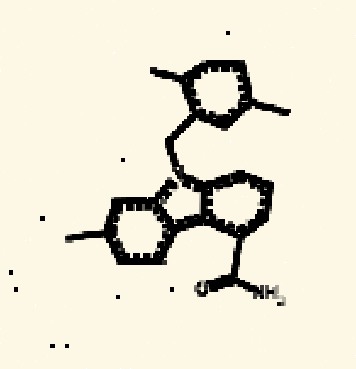 Cc1ccc(C)c(Cn2c3cc(C)c[c]c3c3c(C(N)=O)cccc32)c1